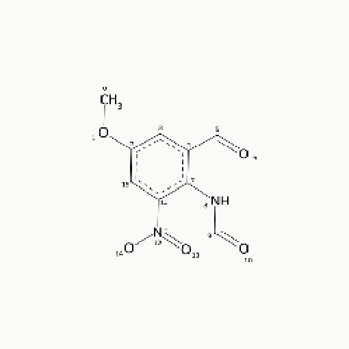 COc1cc(C=O)c(NC=O)c([N+](=O)[O-])c1